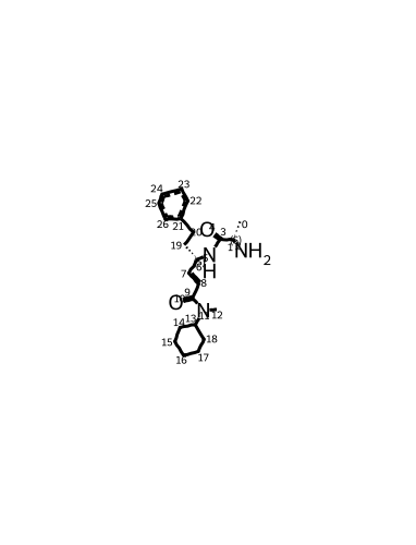 C[C@H](N)C(=O)N[C@H](C=CC(=O)N(C)C1CCCCC1)CCc1ccccc1